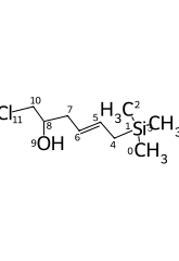 C[Si](C)(C)CC=CCC(O)CCl